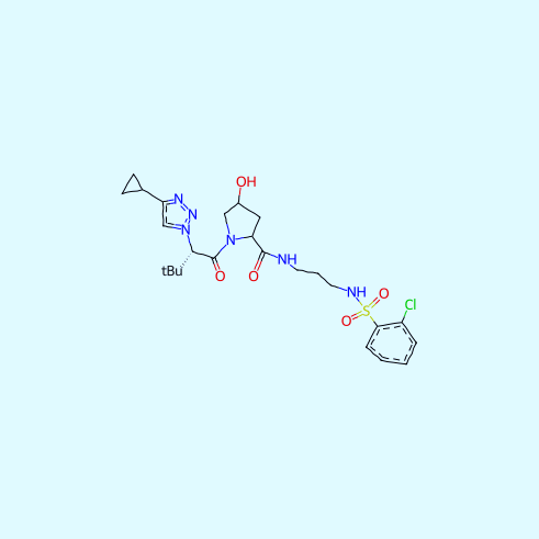 CC(C)(C)[C@@H](C(=O)N1CC(O)CC1C(=O)NCCCNS(=O)(=O)c1ccccc1Cl)n1cc(C2CC2)nn1